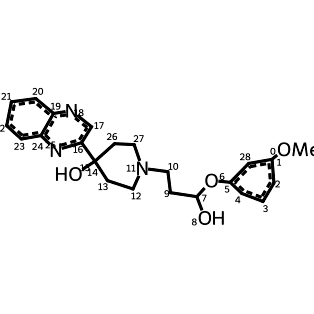 COc1cccc(OC(O)CCN2CCC(O)(c3cnc4ccccc4n3)CC2)c1